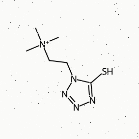 C[N+](C)(C)CCn1nnnc1S